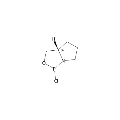 ClP1OC[C@@H]2CCCN21